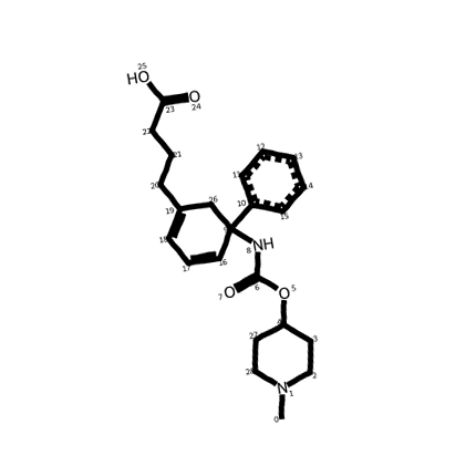 CN1CCC(OC(=O)NC2(c3ccccc3)C=CC=C(CCCC(=O)O)C2)CC1